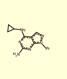 CC(C)n1ncc2c(NC3CC3)nc(N)nc21